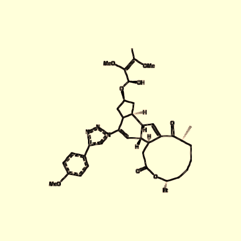 CC[C@H]1CCCC[C@@H](C)C(=O)C2=C[C@@H]3[C@@H](C=C(n4cc(-c5ccc(OC)cc5)nn4)C4C[C@@H](O[C@H](O)/C(OC)=C(/C)OC)C[C@H]43)[C@@H]2CC(=O)O1